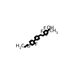 C=CCOc1ccc(-c2ccc(CCc3ccc(C(C)O)c(F)c3F)cc2)c(F)c1